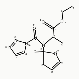 CCOC(=O)C(C)N(C(=O)n1ccnn1)C1(C)CC=CO1